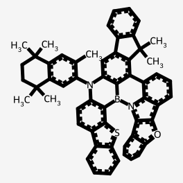 Cc1cc2c(cc1N1c3cc4c(c5c3B(c3c1ccc1c3sc3ccccc31)n1c3c-5cccc3c3oc5ccccc5c31)C(C)(C)c1ccccc1-4)C(C)(C)CCC2(C)C